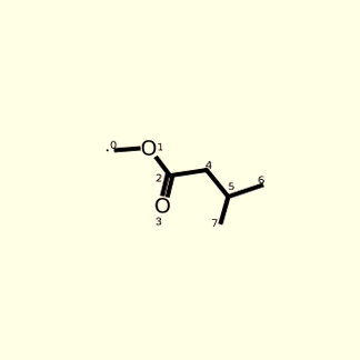 [CH2]OC(=O)CC(C)C